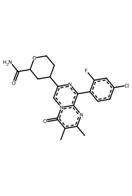 Cc1nc2c(-c3ccc(Cl)cc3F)nc(C3CCOC(C(N)=O)C3)cn2c(=O)c1C